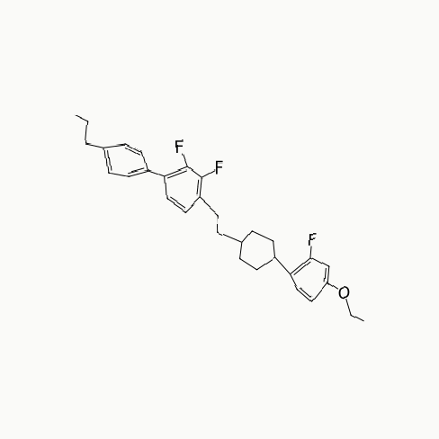 CCCc1ccc(-c2ccc(CCC3CCC(c4ccc(OCC)cc4F)CC3)c(F)c2F)cc1